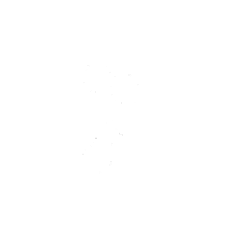 Oc1ccc2ccccc2c1-c1cc2ccccc2[nH]1